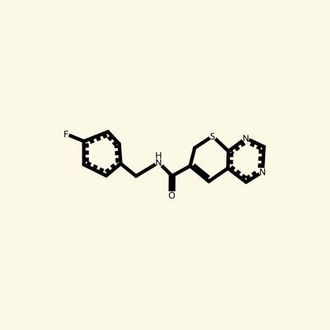 O=C(NCc1ccc(F)cc1)C1=Cc2cncnc2SC1